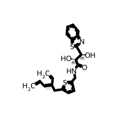 C=C/C=C(\C=C)Cc1ccc(CNC(=O)[C@H](O)[C@@H](O)c2nc3ccccc3s2)s1